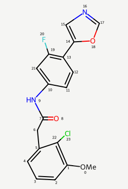 COc1cccc(CC(=O)Nc2ccc(-c3cnco3)c(F)c2)c1Cl